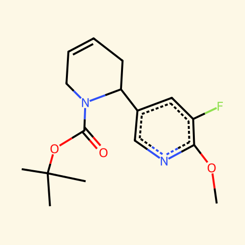 COc1ncc(C2CC=CCN2C(=O)OC(C)(C)C)cc1F